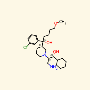 COCCCC[C@@](O)(c1cccc(Cl)c1)[C@@H]1CCCN([C@H](CN)[C@H](O)C2CCCCC2)C1